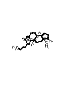 C=CCCC1C[C@H]2C(=CC1=O)CC[C@H]1C3=CCC(O)[C@@]3(C)CC[C@H]21